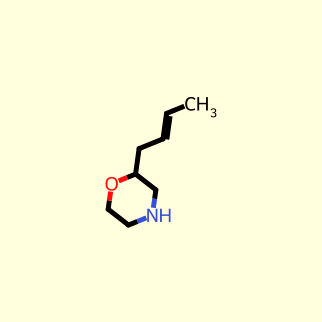 CC=CCC1CNCCO1